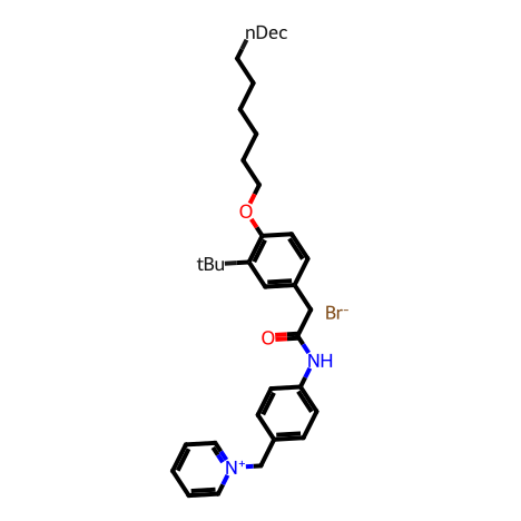 CCCCCCCCCCCCCCCCOc1ccc(CC(=O)Nc2ccc(C[n+]3ccccc3)cc2)cc1C(C)(C)C.[Br-]